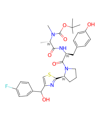 C[C@@H](C(=O)N[C@@H](Cc1ccc(O)cc1)C(=O)N1CCC[C@H]1c1nc(C(O)c2ccc(F)cc2)cs1)N(C)C(=O)OC(C)(C)C